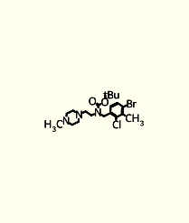 Cc1c(Br)ccc(CN(CCN2CCN(C)CC2)C(=O)OC(C)(C)C)c1Cl